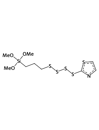 CO[Si](CCCSSSSc1nccs1)(OC)OC